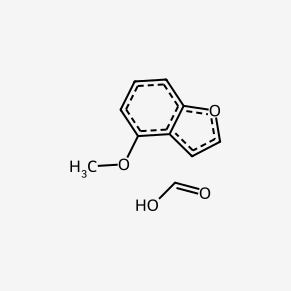 COc1cccc2occc12.O=CO